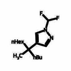 CCCCCCC(C)(CCCC)c1cnn(C(F)F)c1